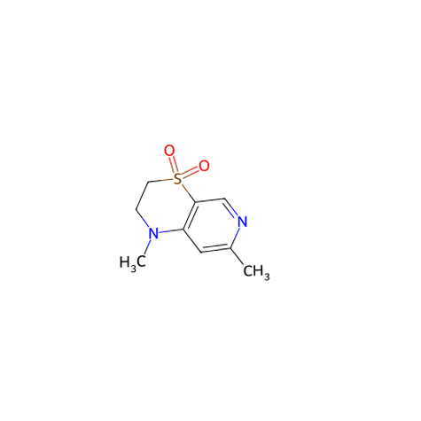 Cc1cc2c(cn1)S(=O)(=O)CCN2C